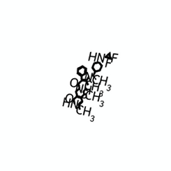 CSc1cc(C)[nH]c(=O)c1CNC(=O)c1c(C)n([C@H](C)C2CCC(NC3CC3(F)F)CC2)c2ccccc12